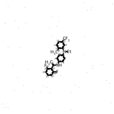 C=C(Nc1ccc(N(CC)c2cc(C(F)(F)F)ccc2C)cc1)c1c(F)cccc1F